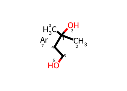 CC(C)(O)CCO.[Ar]